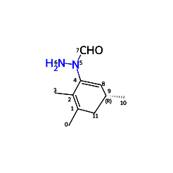 CC1=C(C)C(N(N)C=O)=C[C@H](C)C1